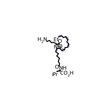 CC/C=C\C/C=C\C/C=C\C/C=C\C(/C=C\CCCCCC(=O)N[C@@H](CC(C)C)C(=O)O)OC(=O)[C@@H](N)CCCCN